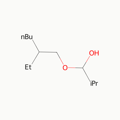 CCCCC(CC)COC(O)C(C)C